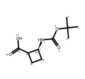 CC(C)(C)OC(=O)N[C@H]1CCC1C(=O)O